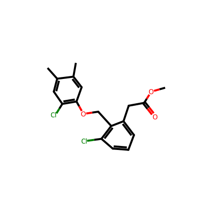 COC(=O)Cc1cccc(Cl)c1COc1cc(C)c(C)cc1Cl